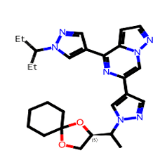 CCC(CC)n1cc(-c2nc(-c3cnn(C(C)[C@H]4COC5(CCCCC5)O4)c3)cn3nccc23)cn1